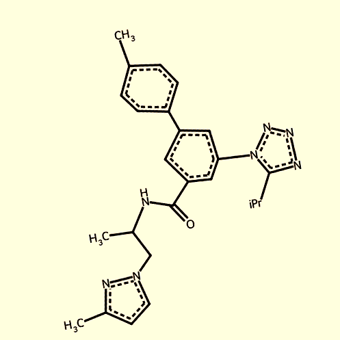 Cc1ccc(-c2cc(C(=O)NC(C)Cn3ccc(C)n3)cc(-n3nnnc3C(C)C)c2)cc1